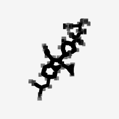 CC(C)NS(=O)(=O)c1ccc(-c2c(C#N)c3ccc(CC(F)F)cc3n2C2CC2)cn1